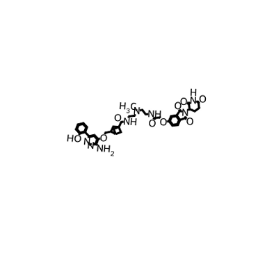 CN(CCNC(=O)COc1ccc2c(c1)C(=O)N(C1CCC(=O)NC1=O)C2=O)CCNC(=O)C12CC(COc3cc(-c4ccccc4O)nnc3N)C(C1)C2